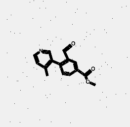 COC(=O)c1ccc(-c2cnccc2C)c(C=O)c1